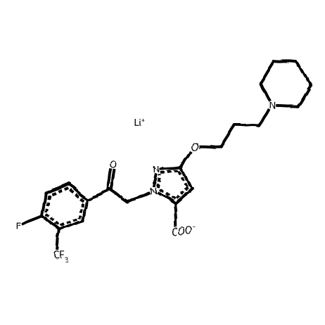 O=C(Cn1nc(OCCCN2CCCCC2)cc1C(=O)[O-])c1ccc(F)c(C(F)(F)F)c1.[Li+]